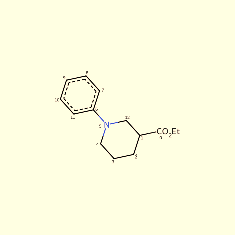 CCOC(=O)C1[CH]CCN(c2ccccc2)C1